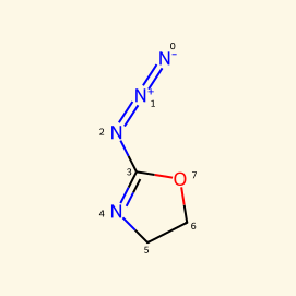 [N-]=[N+]=NC1=NCCO1